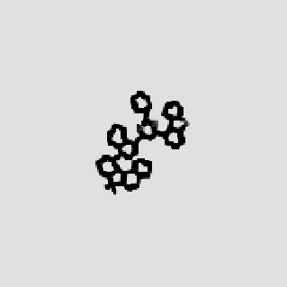 CC1(C)c2cccc(-c3ccc(-c4cc(-c5cccc6sc7ccccc7c56)nc(-c5ccccc5)n4)c4ccccc34)c2-c2c1ccc1ccccc21